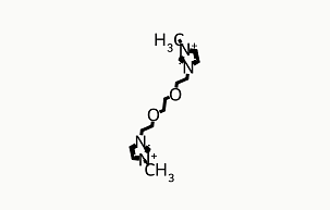 C[n+]1[c]n(CCOCCOCCn2[c][n+](C)cc2)cc1